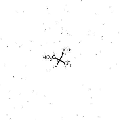 O=C(O)C(F)(F)C(F)(F)F.[Cu]